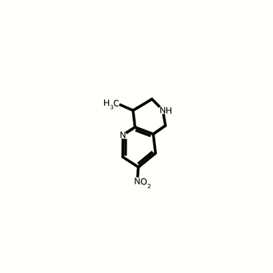 CC1CNCc2cc([N+](=O)[O-])cnc21